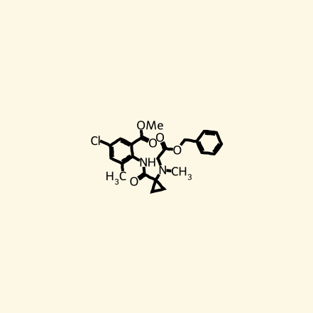 COC(=O)c1cc(Cl)cc(C)c1NC(=O)C1(N(C)CC(=O)OCc2ccccc2)CC1